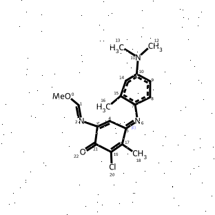 COC=NC1=C/C(=N\c2ccc(N(C)C)cc2C)C(C)=C(Cl)C1=O